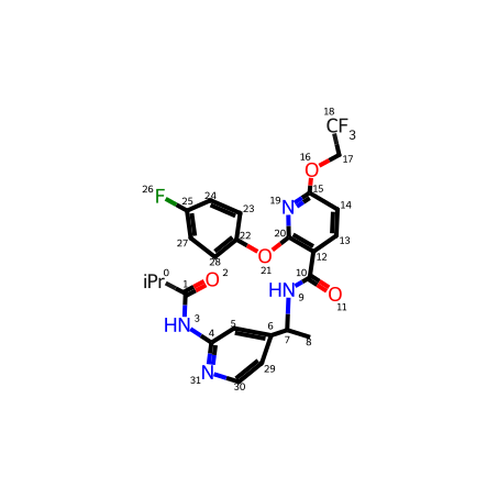 CC(C)C(=O)Nc1cc(C(C)NC(=O)c2ccc(OCC(F)(F)F)nc2Oc2ccc(F)cc2)ccn1